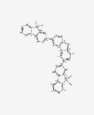 C[Si]1(C)c2ccccc2-c2ccc(-c3ccc4sc5ccc(-c6ccc7c(c6)[Si](C)(C)c6ccccc6-7)cc5c4c3)cc21